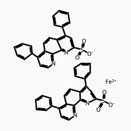 O=S(=O)([O-])c1cc(-c2ccccc2)c2ccc3c(-c4ccccc4)ccnc3c2n1.O=S(=O)([O-])c1cc(-c2ccccc2)c2ccc3c(-c4ccccc4)ccnc3c2n1.[Fe+2]